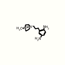 C[N+]12CC[N+](CCCc3cc(N)ccc3N)(CC1)CC2